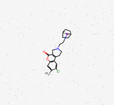 Cc1cc2oc(=O)c3c(c2cc1Cl)CCN(CCN1CC2CCC(CC2)C1)C3